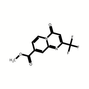 COC(=O)c1ccn2c(=O)cc(C(F)(F)F)nc2c1